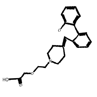 O=C(O)COCCN1CCC(=Cc2ccccc2-c2ccccc2Cl)CC1